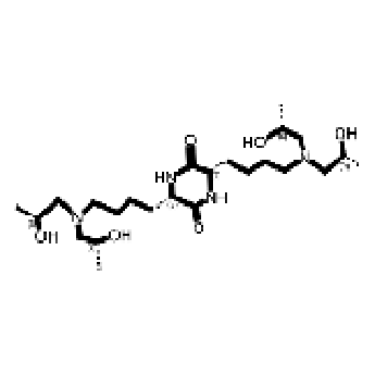 C[C@H](O)CN(CCCC[C@@H]1NC(=O)[C@H](CCCCN(C[C@@H](C)O)C[C@@H](C)O)NC1=O)C[C@@H](C)O